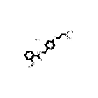 CCOc1ccccc1C(=O)NCc1ccc(OCCN(C)C)cc1.Cl